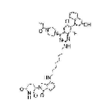 C=CC(=O)N1CCN(c2nc(NCCCCCCCCNc3cccc4c3CN(C3CCC(=O)NC3=O)C4=O)nc3c(F)c(-c4cc(O)cc5ccccc45)c(Cl)cc23)CC1